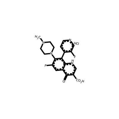 CN1CCN(c2c(F)cc3c(=O)c(C(=O)O)c[nH]c3c2-c2ccncc2F)CC1.Cl